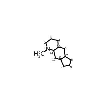 CN1CCCC2CC3CCCC3CC21